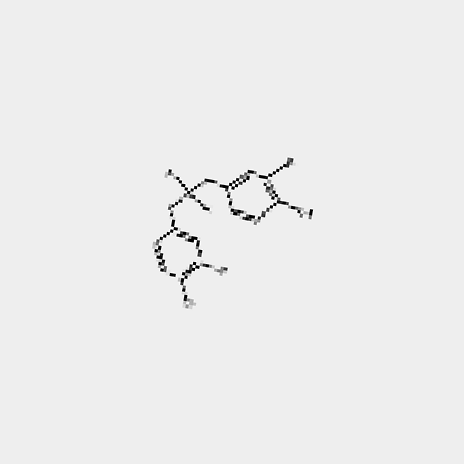 CC(=O)C(Cc1ccc(O)c(C(C)C)c1)(Cc1ccc(O)c(C(C)C)c1)C(C)=O